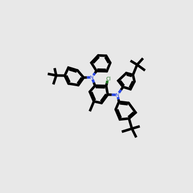 Cc1cc(N(c2ccccc2)c2ccc(C(C)(C)C)cc2)c(Cl)c(N(c2ccc(C(C)(C)C)cc2)c2ccc(C(C)(C)C)cc2)c1